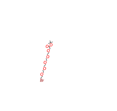 CC(C)(C)OC(=O)COCCOCCOCCOCCOCCBr